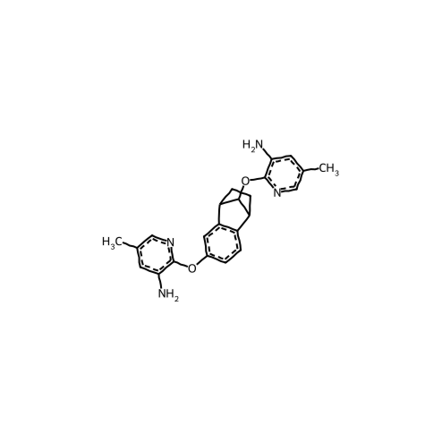 Cc1cnc(Oc2ccc3c(c2)C2CCC3C2Oc2ncc(C)cc2N)c(N)c1